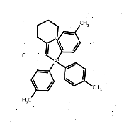 Cc1ccc([P+](/C=C2/CCCCO2)(c2ccc(C)cc2)c2ccc(C)cc2)cc1.[Cl-]